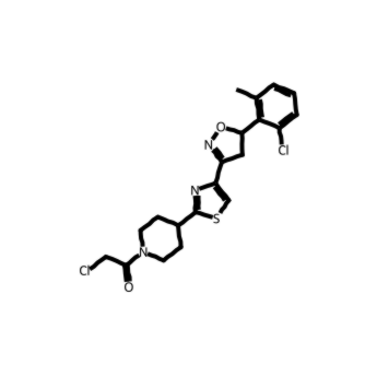 Cc1cccc(Cl)c1C1CC(c2csc(C3CCN(C(=O)CCl)CC3)n2)=NO1